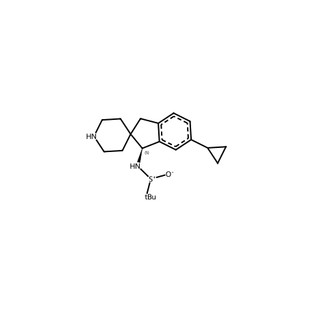 CC(C)(C)[S+]([O-])N[C@@H]1c2cc(C3CC3)ccc2CC12CCNCC2